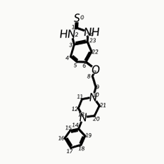 S=c1[nH]c2ccc(OCCN3CCN(c4ccccc4)CC3)cc2[nH]1